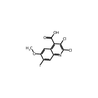 COc1cc2c(C(=O)O)c(Cl)c(Cl)nc2cc1I